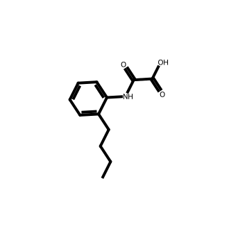 CCCCc1ccccc1NC(=O)C(=O)O